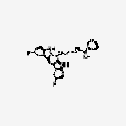 N=C(NCCCOc1c2[nH]c3ccc(F)cc3c2cc2c1[nH]c1ccc(F)cc12)c1ccccc1